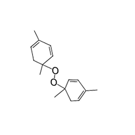 CC1=CCC(C)(OOC2(C)C=CC(C)=CC2)C=C1